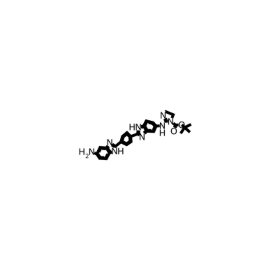 CC(C)(C)OC(=O)N1CCN=C1Nc1ccc2[nH]c(-c3ccc(-c4nc5cc(N)ccc5[nH]4)cc3)nc2c1